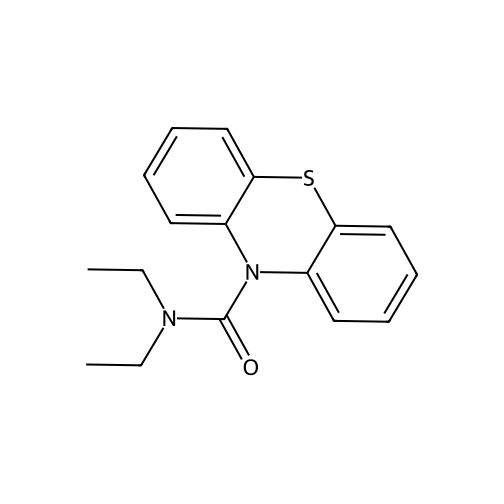 CCN(CC)C(=O)N1c2ccccc2Sc2ccccc21